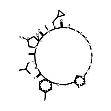 CC(C)C[C@H]1NC(=O)c2ccc(F)cc2OCc2cn(nn2)CCCCCCCCNC(=O)[C@H](CC2CC2)N(C)C(=O)[C@H]2C[C@H](O)CN2C1=O